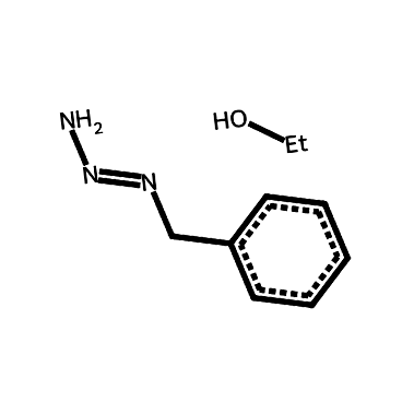 CCO.NN=NCc1ccccc1